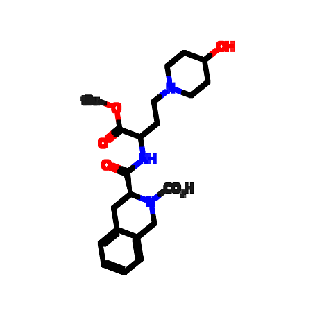 CC(C)(C)OC(=O)C(CCN1CCC(O)CC1)NC(=O)[C@@H]1Cc2ccccc2CN1C(=O)O